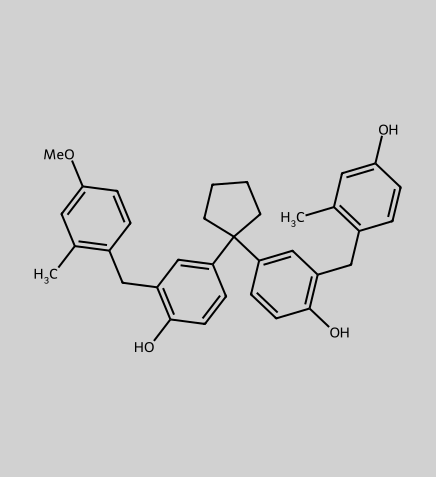 COc1ccc(Cc2cc(C3(c4ccc(O)c(Cc5ccc(O)cc5C)c4)CCCC3)ccc2O)c(C)c1